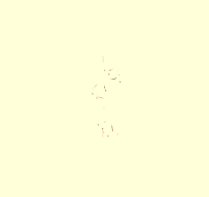 FC(F)(F)c1nc(-c2ccnc(OCc3cc4n(n3)CCCO4)c2)no1